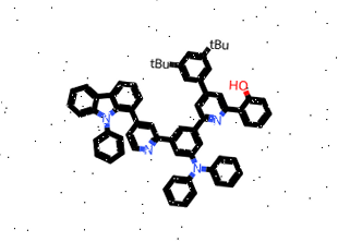 CC(C)(C)c1cc(-c2cc(-c3cc(-c4cc(-c5cccc6c7ccccc7n(-c7ccccc7)c56)ccn4)cc(N(c4ccccc4)c4ccccc4)c3)nc(-c3ccccc3O)c2)cc(C(C)(C)C)c1